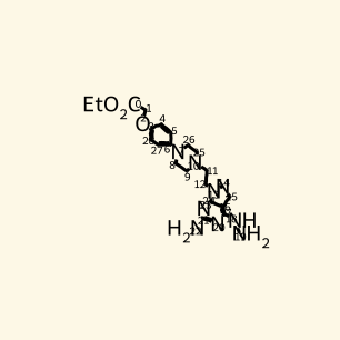 CCOC(=O)COc1ccc(N2CCN(CCn3ncc4c(NN)nc(N)nc43)CC2)cc1